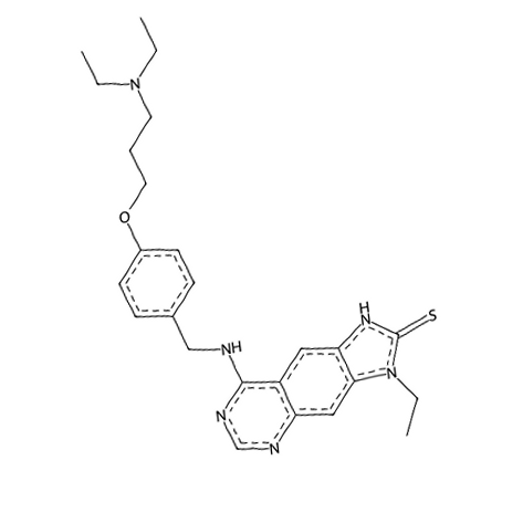 CCN(CC)CCCOc1ccc(CNc2ncnc3cc4c(cc23)[nH]c(=S)n4CC)cc1